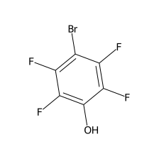 Oc1c(F)c(F)c(Br)c(F)c1F